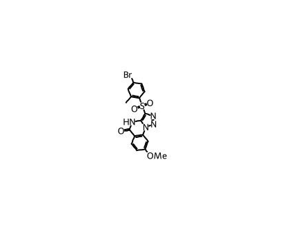 COc1ccc2c(=O)[nH]c3c(S(=O)(=O)c4ccc(Br)cc4C)nnn3c2c1